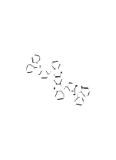 CC1(C)c2ccccc2N(c2ccc3c(c2)P(=O)(c2ccccc2)c2ccccc2O3)c2cc3c(cc21)N(c1ccc2c(c1)P(=O)(c1ccccc1)c1ccccc1O2)c1ccccc1C3(C)C